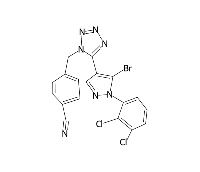 N#Cc1ccc(Cn2nnnc2-c2cnn(-c3cccc(Cl)c3Cl)c2Br)cc1